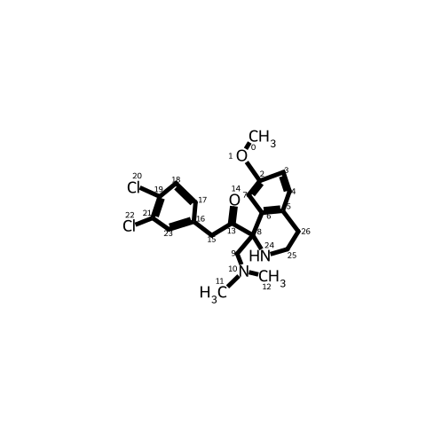 COc1ccc2c(c1)C(CN(C)C)(C(=O)Cc1ccc(Cl)c(Cl)c1)NCC2